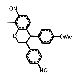 COc1ccc(C2c3ccc(N=O)c(C)c3OCC2c2ccc(N=O)cc2)cc1